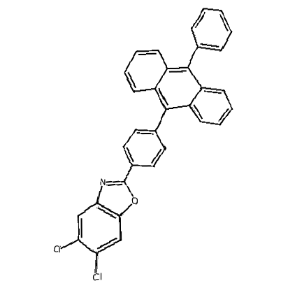 Clc1cc2nc(-c3ccc(-c4c5ccccc5c(-c5ccccc5)c5ccccc45)cc3)oc2cc1Cl